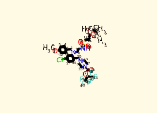 COc1ccc(CN(CCNS(=O)(=O)CCC(=O)OC(C)(C)C)c2cc(Cl)ccc2CN2CCN(C(=O)OC(C(F)(F)F)C(F)(F)F)CC2)cc1